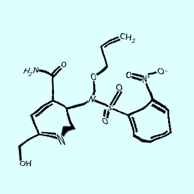 C=CCON(C1CN=C(CO)C=C1C(N)=O)S(=O)(=O)c1ccccc1[N+](=O)[O-]